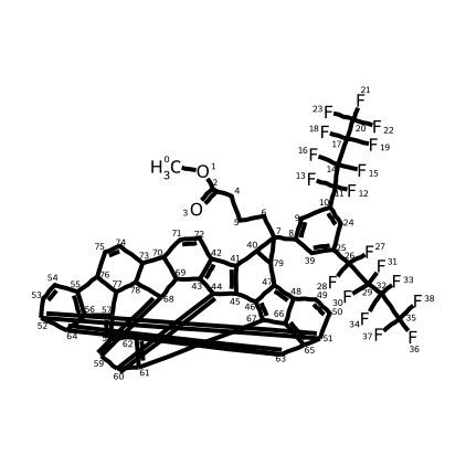 COC(=O)CCCC1(c2cc(C(F)(F)C(F)(F)C(F)(F)C(F)(F)F)cc(C(F)(F)C(F)(F)C(F)(F)C(F)(F)F)c2)C2c3c4c5c6c3c3c(c7ccc8c9ccc%10c%11c%12c%13c(c6c6c%13c(c%119)c8c7c36)=C3C5C(C=C4)C4C=CC%10C%12C34)C21